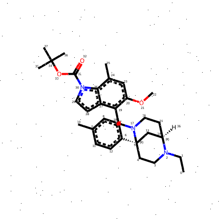 CCN1CC[C@]2(c3ccc(C)cc3)C[C@H]1CCN2Cc1c(OC)cc(C)c2c1ccn2C(=O)OC(C)(C)C